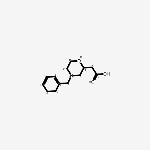 O=C(O)CC1CN(CC2=CC=CCC2)CCO1